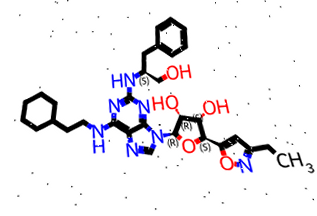 CCc1cc([C@H]2O[C@@H](n3cnc4c(NCCC5CCCCC5)nc(N[C@H](CO)Cc5ccccc5)nc43)[C@H](O)[C@@H]2O)on1